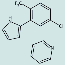 FC(F)(F)c1ccc(Cl)cc1-c1ccc[nH]1.c1ccncc1